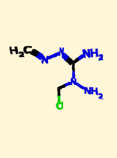 C=N/N=C(/N)N(N)CCl